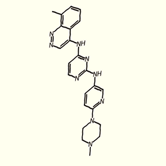 Cc1cccc2c(Nc3ccnc(Nc4ccc(N5CCN(C)CC5)nc4)n3)cnnc12